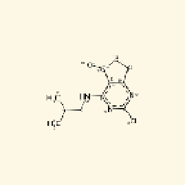 CC(C)CNc1nc(Cl)nc2c1[S+]([O-])CC2